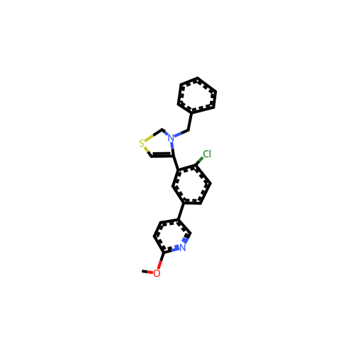 COc1ccc(-c2ccc(Cl)c(C3=CS[CH]N3Cc3ccccc3)c2)cn1